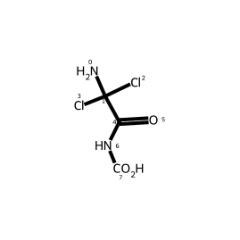 NC(Cl)(Cl)C(=O)NC(=O)O